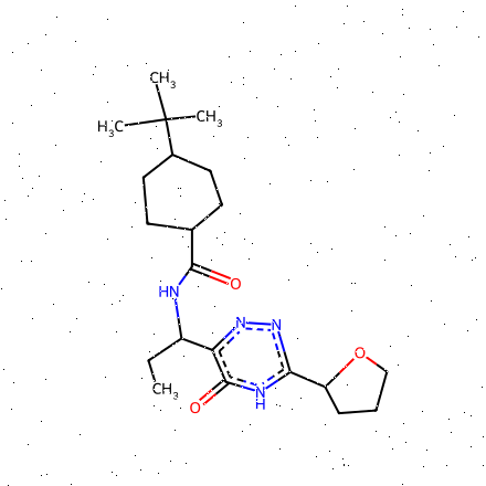 CCC(NC(=O)C1CCC(C(C)(C)C)CC1)c1nnc(C2CCCO2)[nH]c1=O